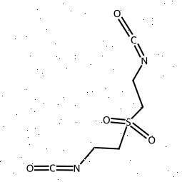 O=C=NCCS(=O)(=O)CCN=C=O